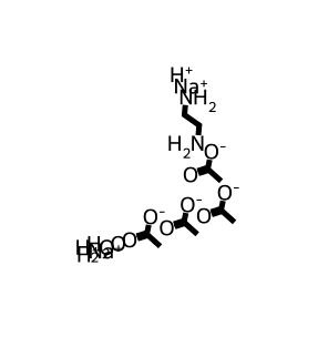 CC(=O)[O-].CC(=O)[O-].CC(=O)[O-].CC(=O)[O-].NCCN.O.O.[H+].[H+].[Na+].[Na+]